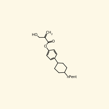 C=C(CO)C(=O)Oc1ccc(C2CCC(CCCCC)CC2)cc1